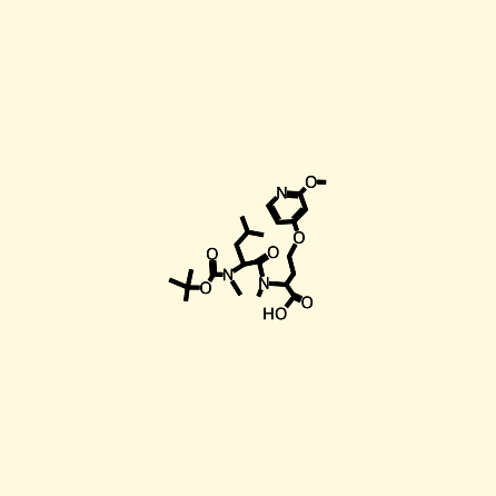 COc1cc(OCCC(C(=O)O)N(C)C(=O)C(CC(C)C)N(C)C(=O)OC(C)(C)C)ccn1